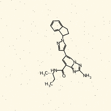 CC[C@H](C)NC(=O)c1cc(-c2cnn(C3CCc4ccccc43)c2)cn2nc(N)nc12